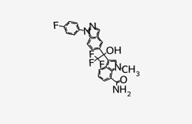 Cn1cc(C(O)(c2ccc3c(cnn3-c3ccc(F)cc3)c2)C(F)(F)F)c2cccc(C(N)=O)c21